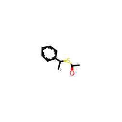 [CH]C(SC(C)=O)c1ccccc1